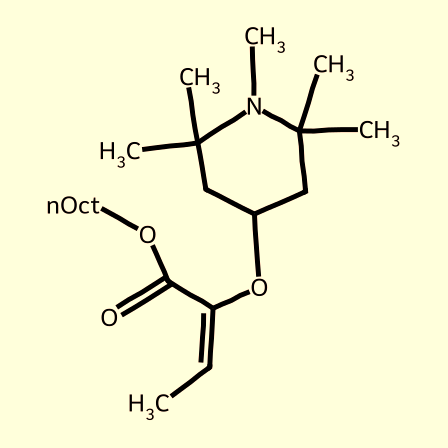 CC=C(OC1CC(C)(C)N(C)C(C)(C)C1)C(=O)OCCCCCCCC